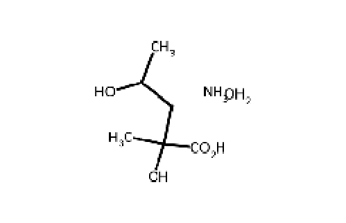 CC(O)CC(C)(O)C(=O)O.N.O